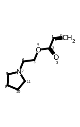 C=CC(=O)OCCN1CCCC1